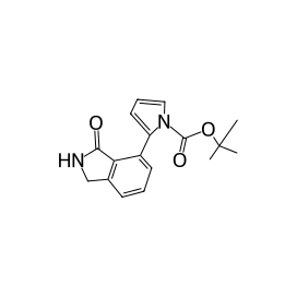 CC(C)(C)OC(=O)n1cccc1-c1cccc2c1C(=O)NC2